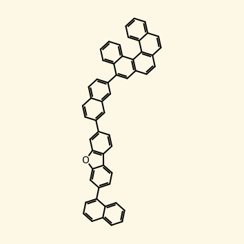 c1ccc2c(-c3ccc4c(c3)oc3cc(-c5ccc6ccc(-c7cc8ccc9ccc%10ccccc%10c9c8c8ccccc78)cc6c5)ccc34)cccc2c1